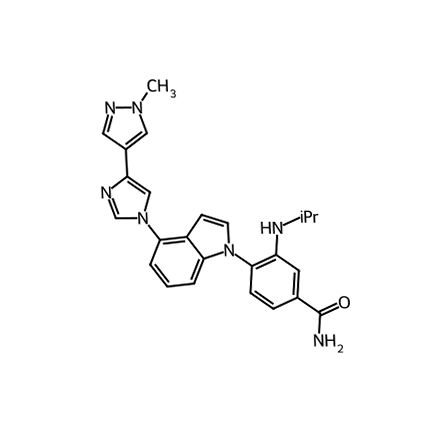 CC(C)Nc1cc(C(N)=O)ccc1-n1ccc2c(-n3cnc(-c4cnn(C)c4)c3)cccc21